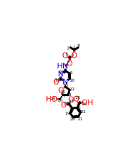 CC(C)OC(=O)ONc1ccn([C@H]2C[C@H](OC(=O)c3ccccc3C(=O)O)[C@@H](CO)O2)c(=O)n1